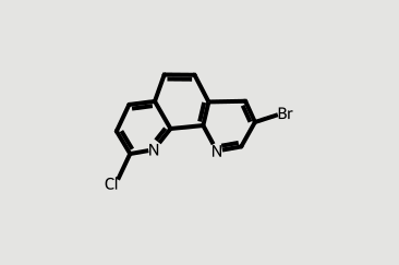 Clc1ccc2ccc3cc(Br)cnc3c2n1